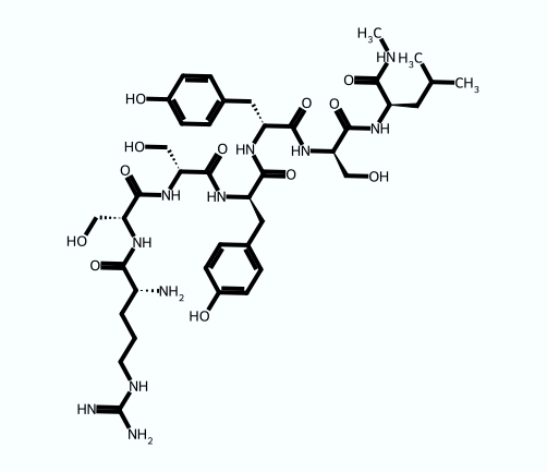 CNC(=O)[C@@H](CC(C)C)NC(=O)[C@@H](CO)NC(=O)[C@@H](Cc1ccc(O)cc1)NC(=O)[C@@H](Cc1ccc(O)cc1)NC(=O)[C@@H](CO)NC(=O)[C@@H](CO)NC(=O)[C@H](N)CCCNC(=N)N